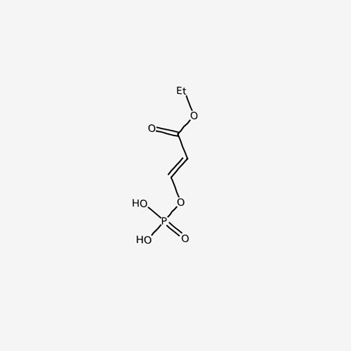 CCOC(=O)C=COP(=O)(O)O